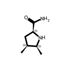 C[C@@H]1N[C@H](C(N)=O)C[C@@H]1C